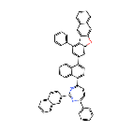 C1=CC(c2ccc(-c3cc(-c4ccccc4)c4c(c3)oc3cc5ccccc5cc34)c3ccccc23)=NC(c2ccc3ccccc3c2)=NC=1c1ccccc1